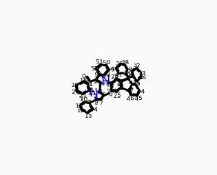 C=Cc1c(-c2c(C)cc(-c3ccccc3)n2-c2ccccc2)n(-c2ccc3c(c2)C(c2ccccc2)(c2ccccc2)c2ccccc2-3)c2ccccc12